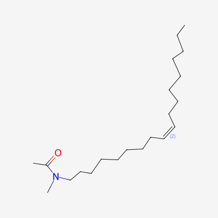 CCCCCCCC/C=C\CCCCCCCCN(C)C(C)=O